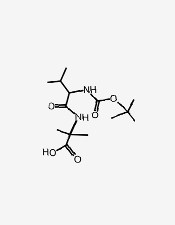 CC(C)C(NC(=O)OC(C)(C)C)C(=O)NC(C)(C)C(=O)O